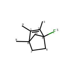 CC1=C(C)C2(F)CCC1(C)C2